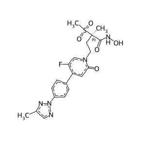 Cc1cnn(-c2ccc(-c3cc(=O)n(CC[C@](C)(C(=O)NO)S(C)(=O)=O)cc3F)cc2)n1